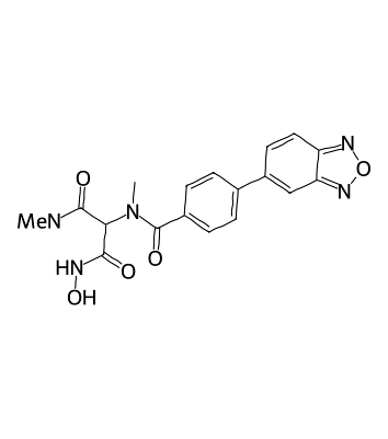 CNC(=O)C(C(=O)NO)N(C)C(=O)c1ccc(-c2ccc3nonc3c2)cc1